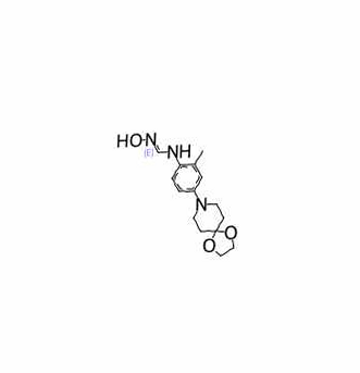 Cc1cc(N2CCC3(CC2)OCCO3)ccc1N/C=N/O